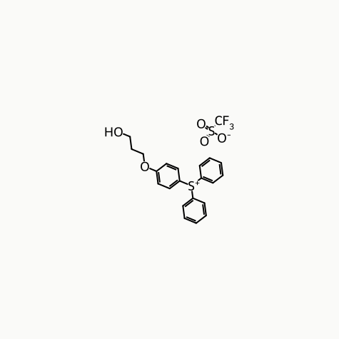 O=S(=O)([O-])C(F)(F)F.OCCCOc1ccc([S+](c2ccccc2)c2ccccc2)cc1